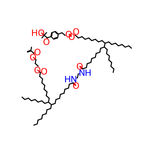 C=C(C)C(=O)OCCCOC(=O)CCCCCCCCC(CCCCCCCC)C(CCCCCCCC)CCCCCCCCC(=O)NCCNC(=O)CCCCCCCCC(CCCCCCCC)C(CCCCCCCC)CCCCCCCCC(=O)OOCCc1ccc(C(=O)C(C)(C)O)cc1